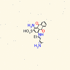 CC/C(=C\C=C(/C)N)Nc1cc(S(=O)(=O)O)c(N)c2c1C(=O)c1ccccc1C2=O